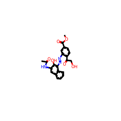 COC(=O)c1ccc(C(=O)CO)c(/N=N/c2c(O)c(NC(C)=O)cc3ccccc23)c1